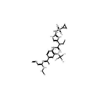 C=N/C=C(\N=C(/C)c1ccc(NC(=O)C(CC)c2csc(NS(=O)(=O)C3CC3)n2)c(OC(F)(F)F)c1)OCC